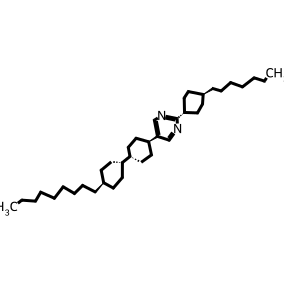 CCCCCCCCC[C@H]1CC[C@H]([C@H]2CC[C@H](c3cnc([C@H]4CC[C@H](CCCCCCC)CC4)nc3)CC2)CC1